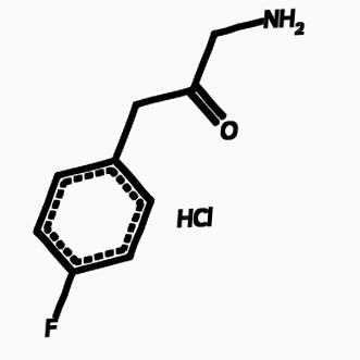 Cl.NCC(=O)Cc1ccc(F)cc1